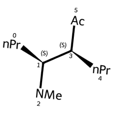 CCC[C@H](NC)[C@H](CCC)C(C)=O